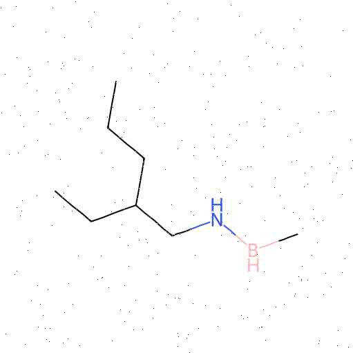 CBNCC(CC)CCC